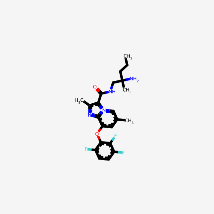 CCCC(C)(N)CNC(=O)c1c(C)nc2c(Oc3c(F)ccc(F)c3F)cc(C)cn12